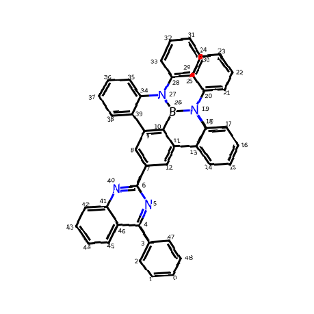 c1ccc(-c2nc(-c3cc4c5c(c3)-c3ccccc3N(c3ccccc3)B5N(c3ccccc3)c3ccccc3-4)nc3ccccc23)cc1